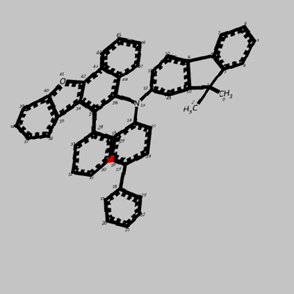 CC1(C)c2ccccc2-c2ccc(N(c3ccc(-c4ccccc4)cc3)c3c(-c4ccccc4)c4c5ccccc5oc4c4ccccc34)cc21